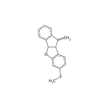 C=C1c2ccccc2C2Oc3cc(SC)ccc3C12